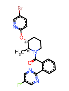 C[C@H]1[C@H](Oc2ccc(Br)cn2)CCCN1C(=O)c1ccccc1-c1ncc(F)cn1